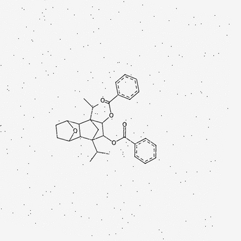 CC(C)C12CC(C(C)C)(C(OC(=O)c3ccccc3)C1OC(=O)c1ccccc1)C1C3CCC(O3)C12